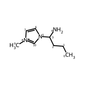 CCCC(N)n1cc[n+](C)c1